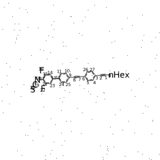 CCCCCCC#Cc1ccc(C#Cc2ccc(-c3cc(F)c(N=C=S)c(F)c3)cc2)cc1